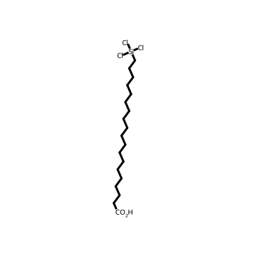 O=C(O)CCCCCCCCCCCCCCCCCC[Si](Cl)(Cl)Cl